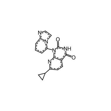 O=c1[nH]c(=O)n(-c2cccc3nccn23)c2nc(C3CC3)ccc12